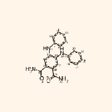 NC(=O)c1cc(Nc2ccccc2)c(Nc2ccccc2)cc1C(N)=O